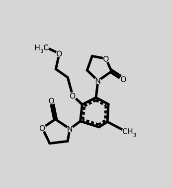 COCCOc1c(N2CCOC2=O)cc(C)cc1N1CCOC1=O